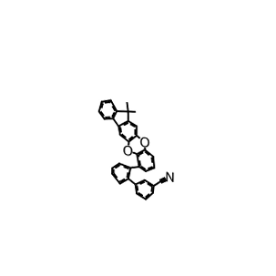 CC1(C)c2ccccc2-c2cc3c(cc21)Oc1cccc(-c2ccccc2-c2cccc(C#N)c2)c1O3